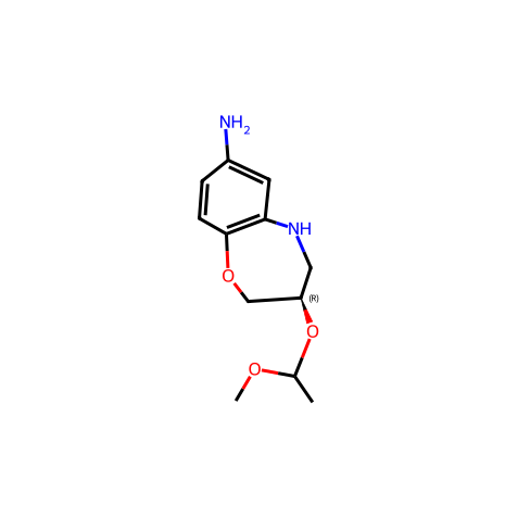 COC(C)O[C@@H]1CNc2cc(N)ccc2OC1